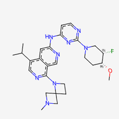 CO[C@@H]1CCN(c2nccc(Nc3cc4c(C(C)C)cnc(N5CCC56CN(C)C6)c4cn3)n2)C[C@@H]1F